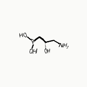 NC[C@H](O)CP(O)O